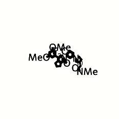 CNC(=O)C[C@@H]1CCN(c2ccc(C(F)(F)F)c(-n3cc(-c4cc(OC)cc(OC)c4)c4c(c3=O)CCC4)c2)C1